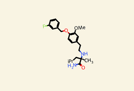 COc1cc(CCN[C@@](C)(CC(C)C)C(N)=O)ccc1OCc1cccc(F)c1